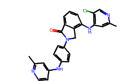 Cc1cc(Nc2ccc(N3Cc4c(Nc5cc(C)ncc5Cl)cccc4C3=O)cc2)ccn1